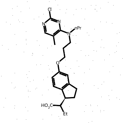 CCCN(CCCOc1ccc2c(c1)CC[C@H]2C(CC)C(=O)O)c1nc(Cl)ncc1C